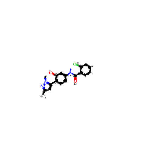 Cn1nc(C(F)(F)F)cc1-c1ccc(NC(=O)c2ccccc2Cl)cc1O